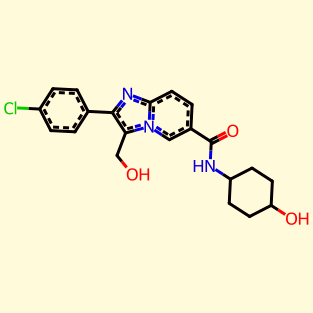 O=C(NC1CCC(O)CC1)c1ccc2nc(-c3ccc(Cl)cc3)c(CO)n2c1